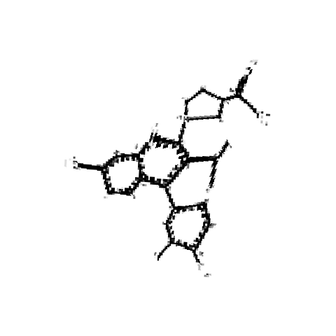 Cc1cc(-c2c(C(C)C)c(N3CCC(C(=O)O)C3)nc3cc(O)ccc23)ccc1F